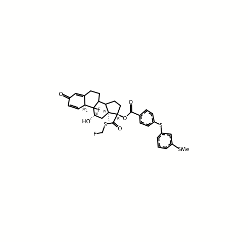 CSc1cccc(Sc2ccc(C(=O)O[C@]3(C(=O)SCF)CCC4C5CCC6=CC(=O)C=C[C@]6(C)C5(F)[C@@H](O)C[C@@]43C)cc2)c1